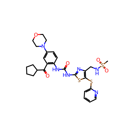 CS(=O)(=O)NCc1nc(NC(=O)Nc2ccc(N3CCOCC3)cc2C(=O)C2CCCC2)sc1Sc1ccccn1